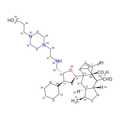 CC(C)C1=CC2CC3(C=O)[C@@H]4CC[C@@H](C)[C@H]4CC2([C@H]2C[C@@H](C4CCCCC4)[C@H](CNCCN4CCN(CCC(=O)O)CC4)O2)[C@]13C(=O)O